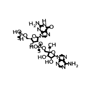 C#C[C@]1(COP(O)(=S)O[C@@H]2[C@@H](F)[C@@H](CO[PH](O)=S)O[C@H]2n2cnc3c(=O)[nH]c(N)nc32)O[C@@H](n2cnc3c(N)ncnc32)[C@H](O)[C@@H]1O